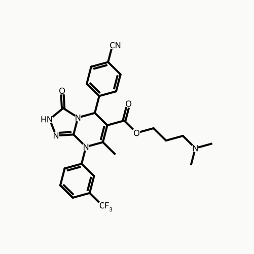 CC1=C(C(=O)OCCCN(C)C)C(c2ccc(C#N)cc2)n2c(n[nH]c2=O)N1c1cccc(C(F)(F)F)c1